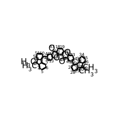 CC1(C)c2ccccc2-c2c(-c3ccc4oc5c(ccc6oc7ccc(-c8cccc9c8-c8ccccc8C9(C)C)cc7c(=O)c65)c(=O)c4c3)cccc21